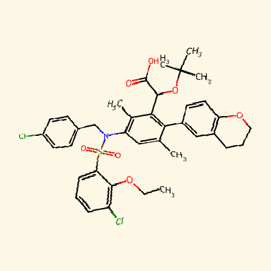 CCOc1c(Cl)cccc1S(=O)(=O)N(Cc1ccc(Cl)cc1)c1cc(C)c(-c2ccc3c(c2)CCCO3)c(C(OC(C)(C)C)C(=O)O)c1C